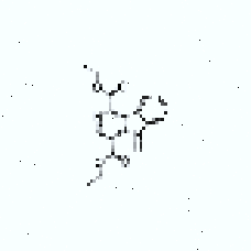 CCOC(=O)c1nnc(C(=O)OCC)c2c1[nH]c1ccccc12